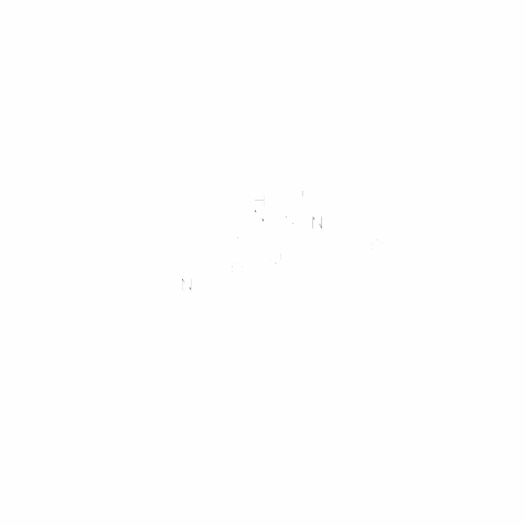 O=C(NS(=O)(=O)N1CCOCC1)c1ccccc1N1CCCC1